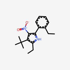 CCc1ccccc1-c1[nH]c(CC)c(C(C)(C)C)c1[N+](=O)[O-]